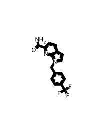 NC(=O)c1ccc2ccn(Cc3ccc(C(F)(F)F)cc3)c2n1